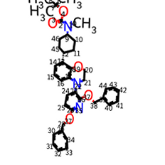 CN(C(=O)OC(C)(C)C)[C@H]1CC[C@H](c2cccc3c2OCCN3c2ccc(OCc3ccccc3)nc2OCc2ccccc2)CC1